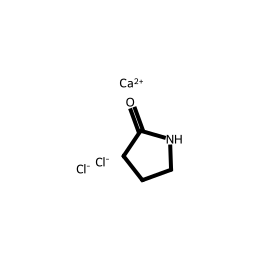 O=C1CCCN1.[Ca+2].[Cl-].[Cl-]